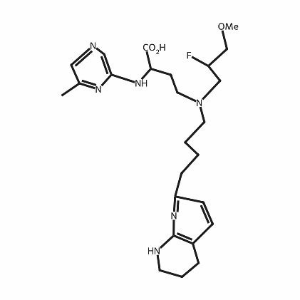 COCC(F)CN(CCCCc1ccc2c(n1)NCCC2)CCC(Nc1cncc(C)n1)C(=O)O